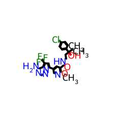 COc1ncc(-c2cc(C(F)(F)F)c3c(N)ncnn23)cc1C(=O)NCCC(O)(c1ccc(Cl)cc1)C(C)C